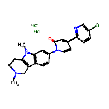 CN1CCc2c(c3ccc(-n4ccc(-c5ccc(Cl)cn5)cc4=O)cc3n2C)C1.Cl.Cl